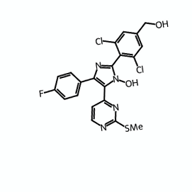 CSc1nccc(-c2c(-c3ccc(F)cc3)nc(-c3c(Cl)cc(CO)cc3Cl)n2O)n1